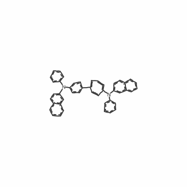 C1=CC=C(c2ccc(N(c3ccccc3)c3ccc4ccccc4c3)cc2)C=CC=1N(c1ccccc1)c1ccc2ccccc2c1